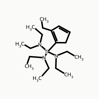 CCC1=[C]([Ti]([N](CC)CC)([N](CC)CC)[N](CC)CC)CC=C1